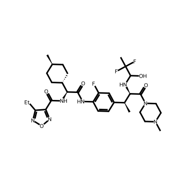 CCc1nonc1C(=O)N[C@H](C(=O)Nc1ccc([C@H](C)[C@@H](NC(O)C(C)(F)F)C(=O)N2CCN(C)CC2)cc1F)[C@H]1CC[C@H](C)CC1